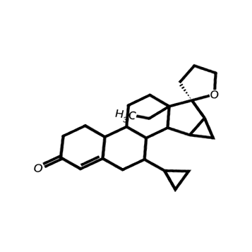 CCC12CCC3C4CCC(=O)C=C4CC(C4CC4)C3C1C1CC1[C@@]21CCCO1